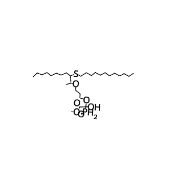 CCCCCCCCCCCCSC(CCCCCCCC)C(C)OCCCOC(O)([PH2]=O)C(=O)OC